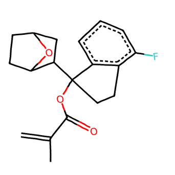 C=C(C)C(=O)OC1(C2CC3CCC2O3)CCc2c(F)cccc21